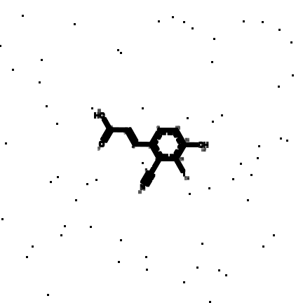 N#Cc1c(C=CC(=O)O)ccc(O)c1I